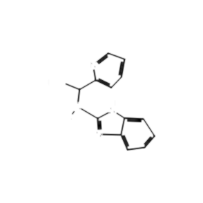 CC(c1ccccn1)[S+]([O-])c1nc2ccccc2[nH]1